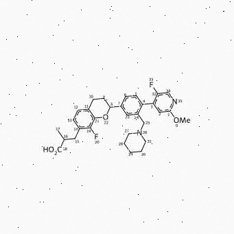 COc1cc(-c2ccc(C3CCc4ccc(CC(C)C(=O)O)c(F)c4O3)cc2CN2CCCCC2)c(F)cn1